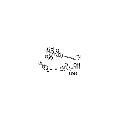 CC(CCN1Cc2cc(C#CC#CC3(F)CCN(C4COC4)CC3)cn2C1=O)(C(=O)NO)S(C)(=O)=O.CN1CCC(F)(C#CC#Cc2cc3n(c2)C(=O)N(CC[C@](C)(C(=O)NO)S(C)(=O)=O)C3)CC1